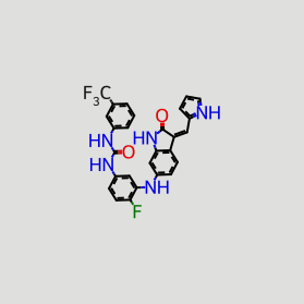 O=C(Nc1cccc(C(F)(F)F)c1)Nc1ccc(F)c(Nc2ccc3c(c2)NC(=O)/C3=C\c2ccc[nH]2)c1